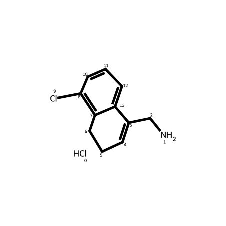 Cl.NCC1=CCCc2c(Cl)cccc21